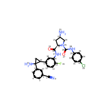 N#Cc1cccc(C2(N)CC2c2ccc(F)c(NC(=O)[C@H]3C[C@@H](N)CN3C(=O)Nc3ccc(Cl)cc3)c2)c1